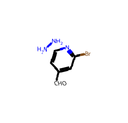 NN.O=Cc1ccnc(Br)c1